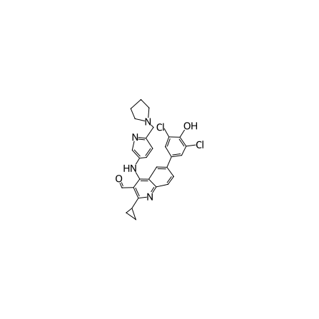 O=Cc1c(C2CC2)nc2ccc(-c3cc(Cl)c(O)c(Cl)c3)cc2c1Nc1ccc(CN2CCCC2)nc1